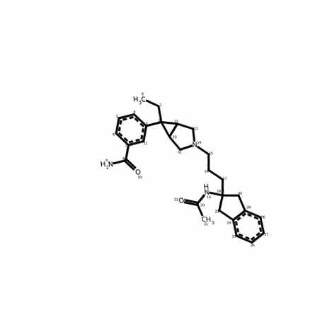 CCC1(c2cccc(C(N)=O)c2)C2CN(CCCC3(NC(C)=O)Cc4ccccc4C3)CC21